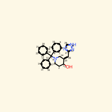 OC1CCN(C(c2ccccc2)(c2ccccc2)c2ccccc2)C/C1=C\c1nc[nH]n1